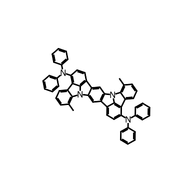 Cc1cccc2c3c(N(c4ccccc4)c4ccccc4)ccc4c5cc6c(cc5n(c12)c43)c1ccc(N(c2ccccc2)c2ccccc2)c2c3cccc(C)c3n6c12